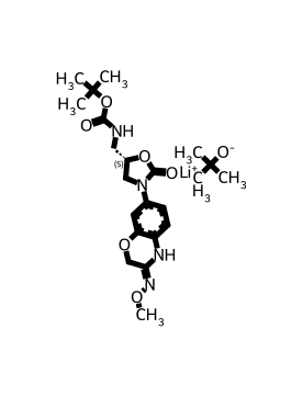 CC(C)(C)[O-].CON=C1COc2cc(N3C[C@H](CNC(=O)OC(C)(C)C)OC3=O)ccc2N1.[Li+]